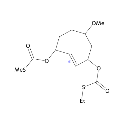 CCSC(=O)OC1/C=C/C(OC(=O)SC)CCC(OC)C1